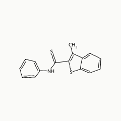 Cc1c(C(=S)Nc2ccccc2)sc2ccccc12